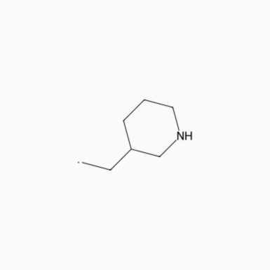 [CH2]CC1CCCNC1